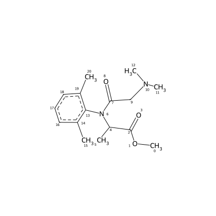 COC(=O)C(C)N(C(=O)CN(C)C)c1c(C)cccc1C